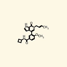 C/C=C/Cn1cc(-c2cc(C(=O)NC3CCC3)ccc2OC)c2cc[nH]c2c1=O